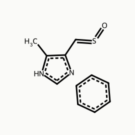 Cc1[nH]cnc1C=S=O.c1ccccc1